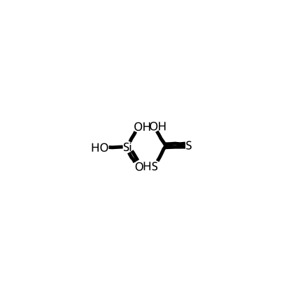 O=[Si](O)O.OC(=S)S